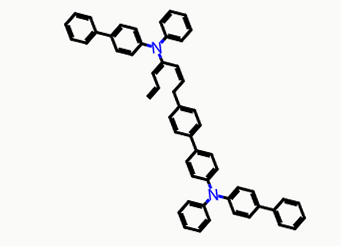 C=C/C=C(\C=C/Cc1ccc(-c2ccc(N(c3ccccc3)c3ccc(-c4ccccc4)cc3)cc2)cc1)N(c1ccccc1)c1ccc(-c2ccccc2)cc1